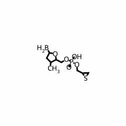 BC1CC(C)C(COP(=O)(O)OCC2CS2)O1